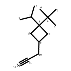 CC(C)C1(C(C)(C)C)CC(CC#N)C1